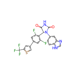 O=C1NC(=O)N(c2ccc3[nH]cnc3c2)C1c1c(F)cc(-c2csc(C(F)(F)F)c2)cc1F